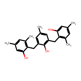 Cc1cc(C)c(Cc2cc(C)cc(Cc3c(C)cc(C)cc3O)c2O)c(O)c1